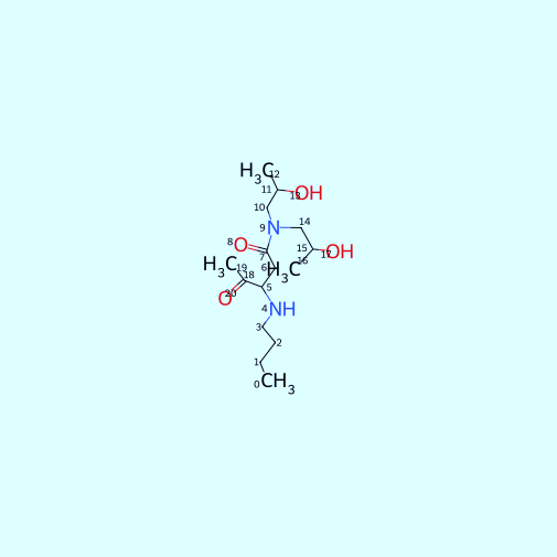 CCCCNC(CC(=O)N(CC(C)O)CC(C)O)C(C)=O